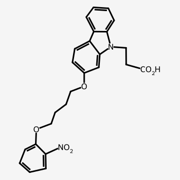 O=C(O)CCn1c2ccccc2c2ccc(OCCCCOc3ccccc3[N+](=O)[O-])cc21